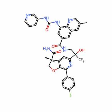 Cc1cnc2c(NC(=O)Nc3cccnc3)cc(C(=O)NCC(O)(c3cc4c(c(-c5ccc(F)cc5)n3)OC[C@]4(C)C(N)=O)C(F)(F)F)cc2c1